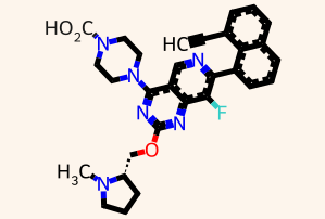 C#Cc1cccc2cccc(-c3ncc4c(N5CCN(C(=O)O)CC5)nc(OC[C@@H]5CCCN5C)nc4c3F)c12